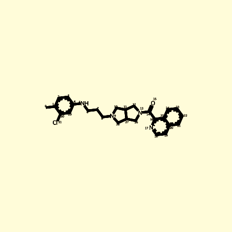 Cc1ccc(NCCCN2CC3CN(C(=O)c4nccc5ccccc45)CC3C2)cc1Cl